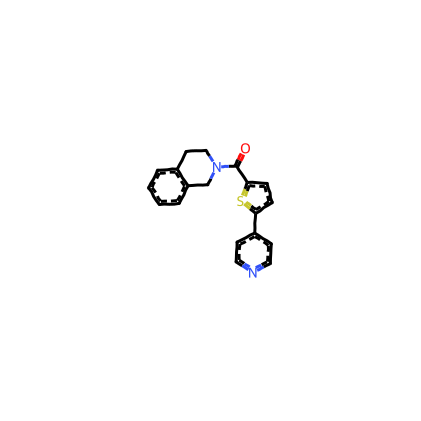 O=C(c1ccc(-c2ccncc2)s1)N1CCc2ccccc2C1